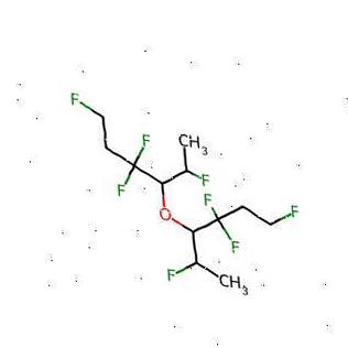 CC(F)C(OC(C(C)F)C(F)(F)CCF)C(F)(F)CCF